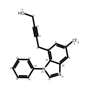 OCC#CCc1cc(C(F)(F)F)cc2ncn(-c3ccccc3)c12